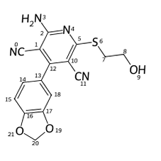 N#Cc1c(N)nc(SCCO)c(C#N)c1-c1ccc2c(c1)OCO2